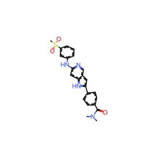 CN(C)C(=O)c1ccc(-c2cc3cnc(Nc4cccc(S(C)(=O)=O)c4)cc3[nH]2)cc1